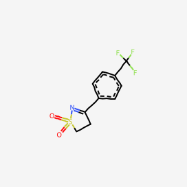 O=S1(=O)CCC(c2ccc(C(F)(F)F)cc2)=N1